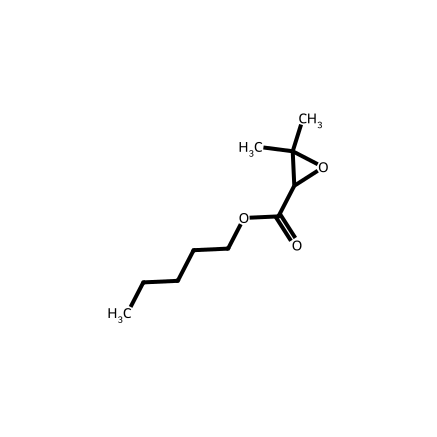 CCCCCOC(=O)C1OC1(C)C